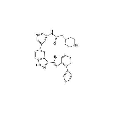 O=C(CC1CCNCC1)Nc1cncc(-c2ccc3[nH]nc(-c4cc5c(-c6ccsc6)ccnc5[nH]4)c3c2)c1